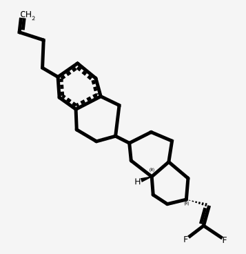 C=CCCc1ccc2c(c1)CCC(C1CCC3C[C@H](C=C(F)F)CC[C@@H]3C1)C2